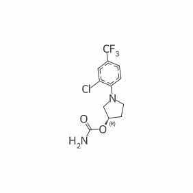 NC(=O)O[C@@H]1CCN(c2ccc(C(F)(F)F)cc2Cl)C1